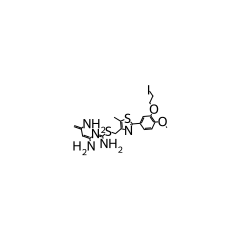 C=C(N)/C=C(N)\N=C(/N)SCc1nc(-c2ccc(OC)c(OCCI)c2)sc1C